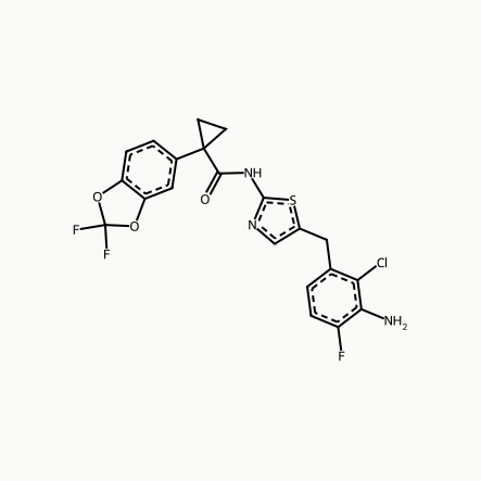 Nc1c(F)ccc(Cc2cnc(NC(=O)C3(c4ccc5c(c4)OC(F)(F)O5)CC3)s2)c1Cl